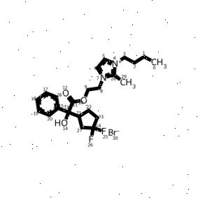 CCCC[n+]1ccn(CCOC(=O)C(O)(c2ccccc2)C2CCC(F)(F)C2)c1C.[Br-]